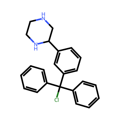 ClC(c1ccccc1)(c1ccccc1)c1cccc(C2CNCCN2)c1